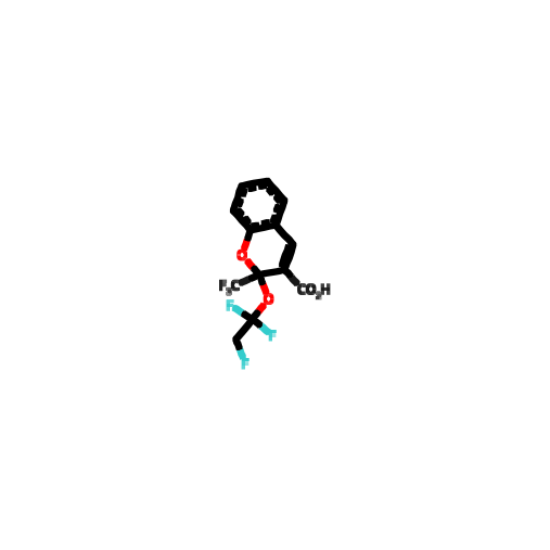 O=C(O)C1=Cc2ccccc2OC1(OC(F)(F)CF)C(F)(F)F